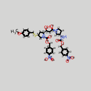 COc1ccc(CS[C@H]2C[C@@H](C(O)CC(=O)N3CC[C@H](NC(=O)OCc4ccc([N+](=O)[O-])cc4)C3)N(C(=O)OCc3ccc([N+](=O)[O-])cc3)C2)cc1